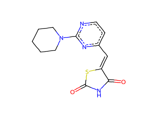 O=C1NC(=O)C(=Cc2ccnc(N3CCCCC3)n2)S1